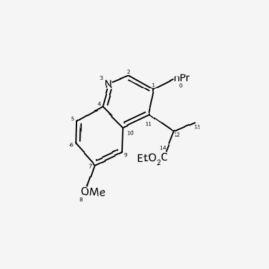 CCCc1cnc2ccc(OC)cc2c1C(C)C(=O)OCC